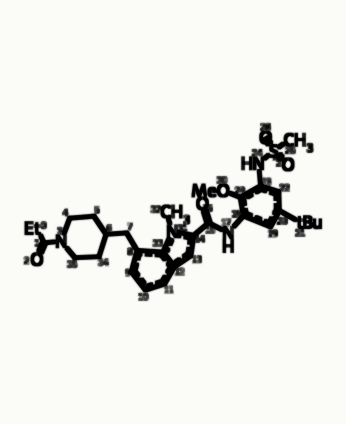 CCC(=O)N1CCC(Cc2cccc3cc(C(=O)Nc4cc(C(C)(C)C)cc(NS(C)(=O)=O)c4OC)n(C)c23)CC1